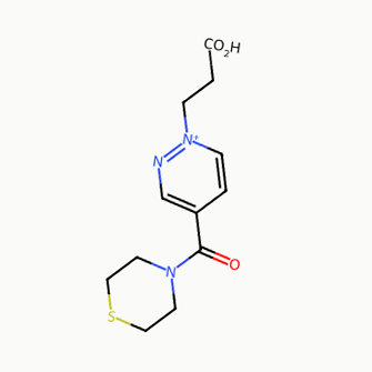 O=C(O)CC[n+]1ccc(C(=O)N2CCSCC2)cn1